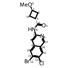 CO[C@H]1C[C@H](C(=O)Nc2cc3cc(Br)c(Cl)cc3cn2)C1